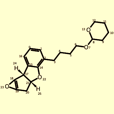 c1cc(CCCCOC2CCCCO2)c2c(c1)[C@H]1C3=C(C[C@H]1O2)O3